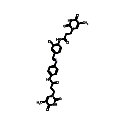 Cc1cn(CCC(=O)Nc2ccc(/N=C/c3ccc(NC(=O)CCn4cc(C)c(=O)[nH]c4=O)c(Cl)c3)cc2)c(=O)[nH]c1=O